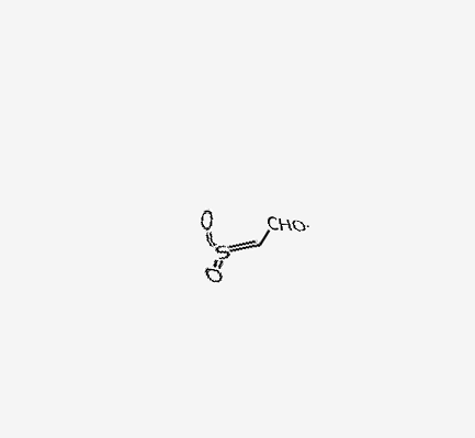 O=[C]C=S(=O)=O